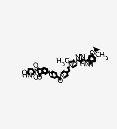 C[C@H]1CN(c2cc(-c3[nH]nc4ccc(OC5(C)CC5)cc34)ncn2)CCN1CCC1CCN(C(=O)C2CCN(c3ccc4c(c3)C(=O)N(C3CCC(=O)NC3=O)C4=O)CC2)CC1